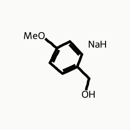 COc1ccc(CO)cc1.[NaH]